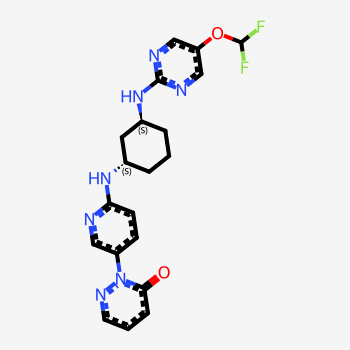 O=c1cccnn1-c1ccc(N[C@H]2CCC[C@H](Nc3ncc(OC(F)F)cn3)C2)nc1